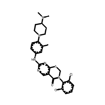 Cc1cc(Nc2ncc3c(n2)SCN(c2c(Cl)cccc2Cl)C3=O)ccc1N1CCC(N(C)C)CC1